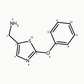 NCc1cnc(Oc2ccccc2)s1